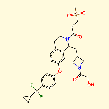 CS(=O)(=O)CCC(=O)N1CCc2ccc(Oc3ccc(C(F)(F)C4CC4)cc3)cc2C1CC1CN(C(=O)CO)C1